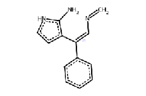 C=N/C=C(/c1ccccc1)c1cc[nH]c1N